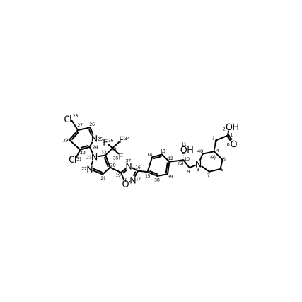 O=C(O)C[C@H]1CCCN(C[C@@H](O)c2ccc(-c3noc(-c4cnn(-c5ncc(Cl)cc5Cl)c4C(F)(F)F)n3)cc2)C1